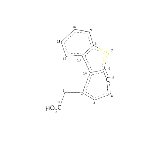 O=C(O)Cc1cccc2sc3ccccc3c12